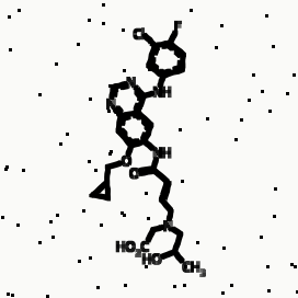 CC(O)CN(CC=CC(=O)Nc1cc2c(Nc3ccc(F)c(Cl)c3)ncnc2cc1OCC1CC1)CC(=O)O